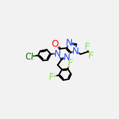 O=c1c2ncn(CC(F)F)c2nc(Cc2c(F)cccc2F)n1-c1ccc(Cl)cc1